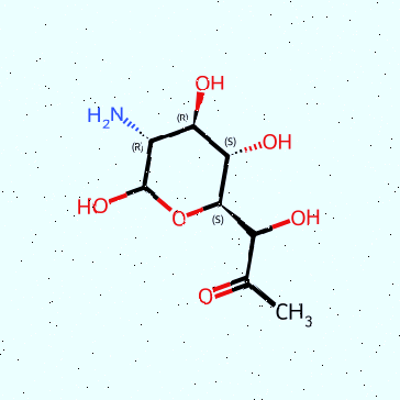 CC(=O)C(O)[C@H]1OC(O)[C@H](N)[C@@H](O)[C@@H]1O